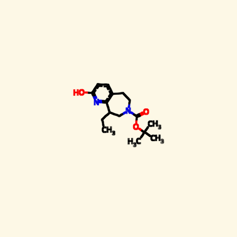 CCC1CN(C(=O)OC(C)(C)C)CCc2ccc(O)nc21